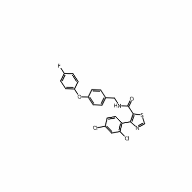 O=C(NCc1ccc(Oc2ccc(F)cc2)cc1)c1scnc1-c1ccc(Cl)cc1Cl